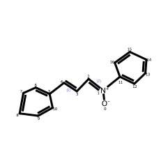 [O-]/[N+](=C\C=C\c1ccccc1)c1ccccc1